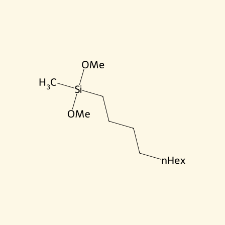 CCCCCCCCCC[Si](C)(OC)OC